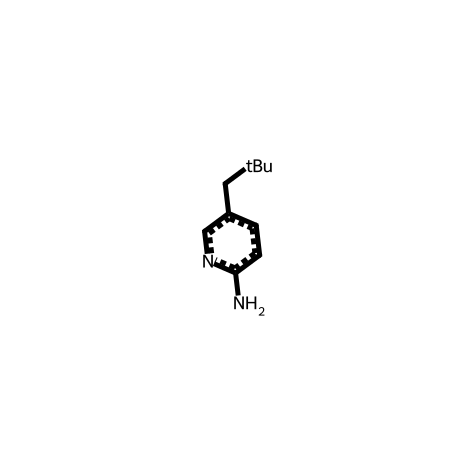 CC(C)(C)Cc1ccc(N)nc1